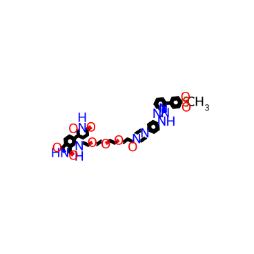 CS(=O)(=O)c1ccc(-c2cccc3nc(Nc4ccc(N5CCN(C(=O)CCOCCOCCOCCNc6c(C7CCC(=O)NC7=O)ccc7c6C(=O)NC7=O)CC5)cc4)nn23)cc1